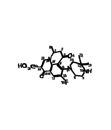 CC1CC(=O)c2c(N3CCNC(C)(C)C3)c(F)cc3c(=O)c(C(=O)O)cn1c23